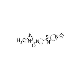 Cc1cncc(C(=O)N2CCC(c3nc4c(s3)CCN(C3=CC=C3)CC4)CC2)n1